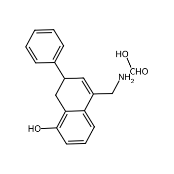 NCC1=CC(c2ccccc2)Cc2c(O)cccc21.O=CO